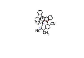 C=C(/C(C#N)=C\C=C(/C)c1ccccc1-n1c2ccccc2c2ccccc21)c1ccc(C#N)c(-n2c3ccccc3c3ccccc32)c1